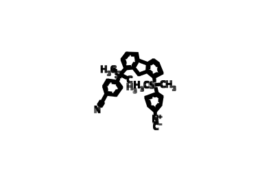 [C-]#[N+]c1ccc([Si](C)(C)c2cccc3c2Cc2c-3cccc2[Si](C)(C)c2ccc(C#N)cc2)cc1